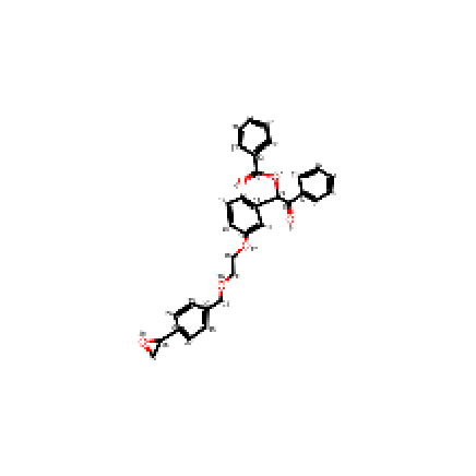 O=C(OC(C(=O)c1ccccc1)c1cccc(OCCOCc2ccc(C3CO3)cc2)c1)c1ccccc1